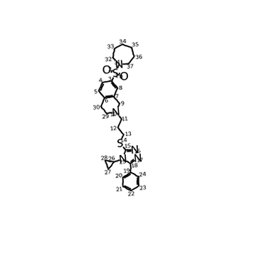 O=S(=O)(c1ccc2c(c1)CN(CCCSc1nnc(-c3ccccc3)n1C1CC1)CC2)N1CCCCCC1